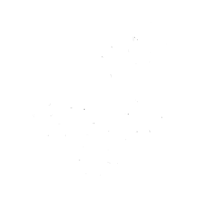 COc1c(C#Cc2ccc(NS(C)(=O)=O)cc2F)cc(-c2cccnc2OCc2ccccc2)cc1C(C)(C)C